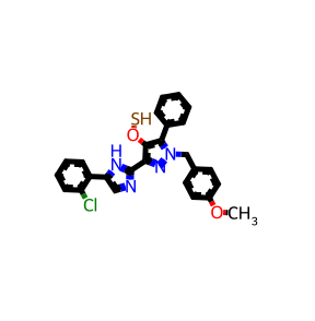 COc1ccc(Cn2nc(-c3ncc(-c4ccccc4Cl)[nH]3)c(OS)c2-c2ccccc2)cc1